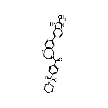 Cc1nc2ccc(-c3ccc4c(c3)CN(C(=O)c3ccc(S(=O)(=O)N5CCCCC5)cc3)CCO4)cc2[nH]1